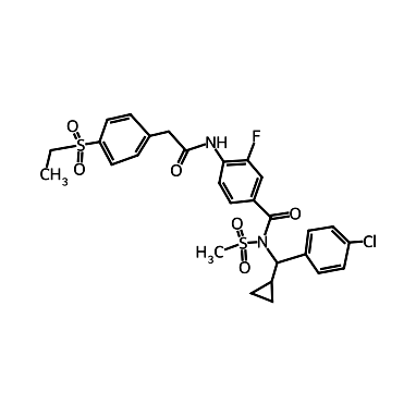 CCS(=O)(=O)c1ccc(CC(=O)Nc2ccc(C(=O)N(C(c3ccc(Cl)cc3)C3CC3)S(C)(=O)=O)cc2F)cc1